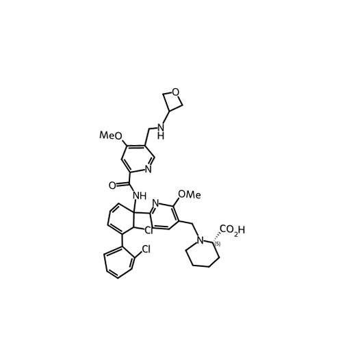 COc1cc(C(=O)NC2(c3ccc(CN4CCCC[C@H]4C(=O)O)c(OC)n3)C=CC=C(c3ccccc3Cl)C2Cl)ncc1CNC1COC1